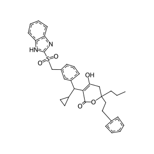 CCCC1(CCc2ccccc2)CC(O)=C(C(c2cccc(CS(=O)(=O)c3nc4ccccc4[nH]3)c2)C2CC2)C(=O)O1